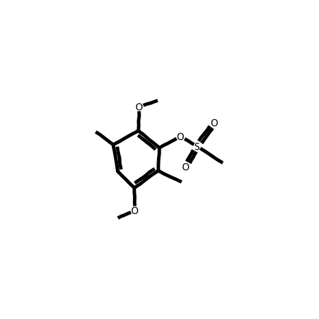 COc1cc(C)c(OC)c(OS(C)(=O)=O)c1C